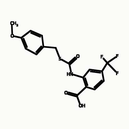 COc1ccc(CSC(=O)Nc2cc(C(F)(F)F)ccc2C(=O)O)cc1